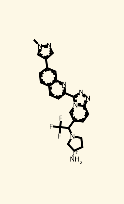 Cn1cc(-c2ccc3ccc(-c4nnc5ccc(C(N6CC[C@H](N)C6)C(F)(F)F)cn45)nc3c2)cn1